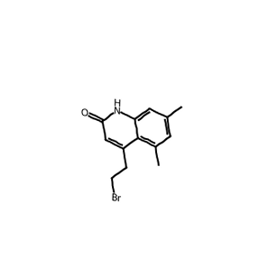 Cc1cc(C)c2c(CCBr)cc(=O)[nH]c2c1